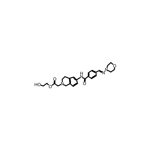 O=C(CN1CCc2cc(NC(=O)c3ccc(C=NN4CCOCC4)cc3)ccc2C1)OCCO